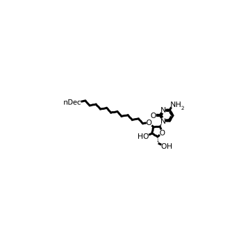 CCCCCCCCCCCCCCCCCCCCCCOC1C(O)[C@@H](CO)O[C@H]1n1ccc(N)nc1=O